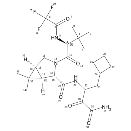 CC(C)(C)[C@H](NC(=O)C(F)(F)F)C(=O)N1C[C@H]2[C@@H]([C@H]1C(=O)NC(CC1CCC1)C(=O)C(N)=O)C2(C)C